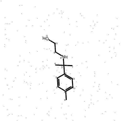 Cc1ccc(C(C)(C)NCCO)cc1